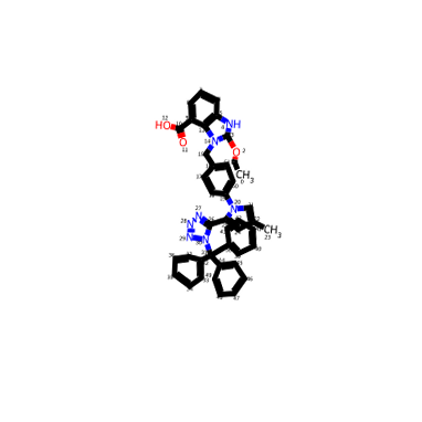 CCOC1Nc2cccc(C(=O)O)c2N1Cc1ccc(-n2cc(C)cc2-c2nnnn2C(c2ccccc2)(c2ccccc2)c2ccccc2)cc1